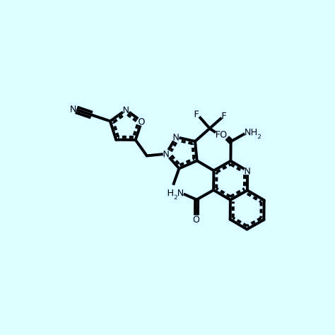 Cc1c(-c2c(C(N)=O)nc3ccccc3c2C(N)=O)c(C(F)(F)F)nn1Cc1cc(C#N)no1